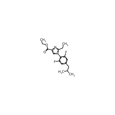 CCOC(=O)c1cn(-c2c(F)cc(CC(C)C)cc2F)c(CC)n1